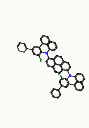 Fc1cc(C2=CC=CCC2)cc(-c2ccccc2)c1N(c1ccccc1)c1ccc2ccc3c(N(c4ccccc4)c4c(F)cc(-c5ccccc5)cc4-c4ccccc4)ccc4ccc1c2c43